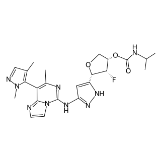 Cc1cnn(C)c1-c1c(C)nc(Nc2cc([C@@H]3OC[C@H](OC(=O)NC(C)C)[C@@H]3F)[nH]n2)n2ccnc12